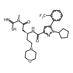 CN(C(=N)S)C(=O)C[C@H](CCN1CCOCC1)NC(=O)c1cc(-c2ccccc2C(F)(F)F)n(C2CCCC2)n1